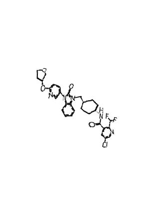 O=C(N[C@H]1CC[C@H](Cn2c(=O)n(-c3ccc(O[C@H]4CCOC4)nc3)c3ccccc32)CC1)c1cc(Cl)cnc1C(F)F